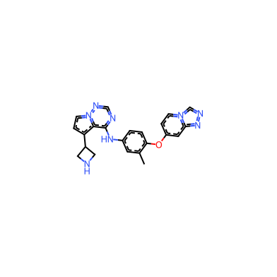 Cc1cc(Nc2ncnn3ccc(C4CNC4)c23)ccc1Oc1ccn2cnnc2c1